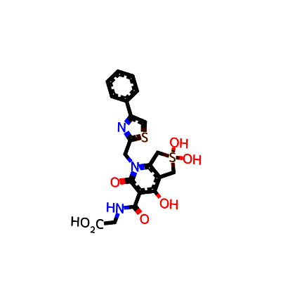 O=C(O)CNC(=O)c1c(O)c2c(n(Cc3nc(-c4ccccc4)cs3)c1=O)CS(O)(O)C2